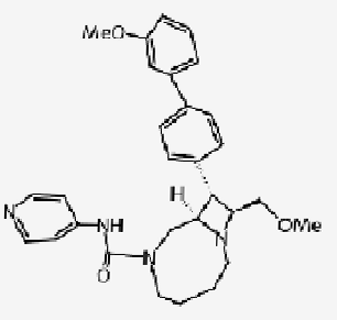 COC[C@@H]1[C@@H](c2ccc(-c3cccc(OC)c3)cc2)[C@@H]2CN(C(=O)Nc3ccncc3)CCCCN12